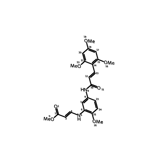 COC(=O)C=CNc1cc(NC(=O)C=Cc2c(OC)cc(OC)cc2OC)ccc1OC